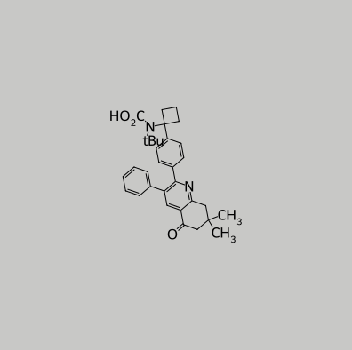 CC1(C)CC(=O)c2cc(-c3ccccc3)c(-c3ccc(C4(N(C(=O)O)C(C)(C)C)CCC4)cc3)nc2C1